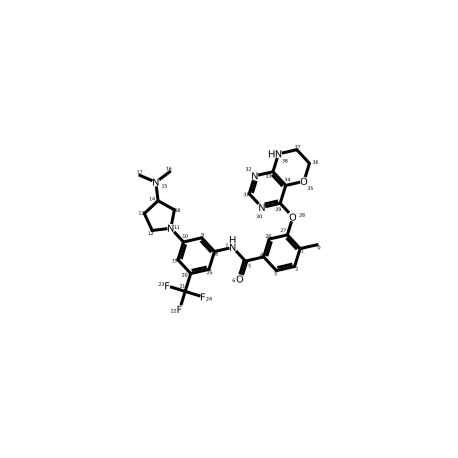 Cc1ccc(C(=O)Nc2cc(N3CCC(N(C)C)C3)cc(C(F)(F)F)c2)cc1Oc1ncnc2c1OCCN2